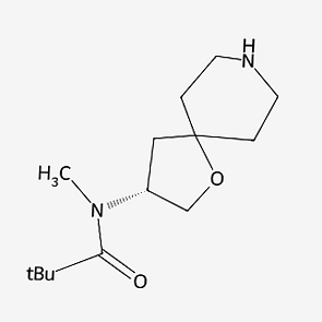 CN(C(=O)C(C)(C)C)[C@H]1COC2(CCNCC2)C1